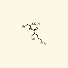 CC(C)C[C@H](NC(=O)C(CS)CCCN)C(=O)O